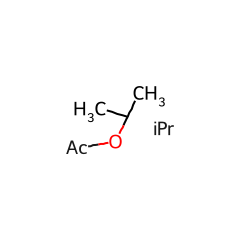 [CH2][C@H](C)C(C)(C)OC(C)=O